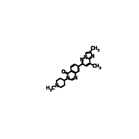 Cc1cn2nc(-c3ccc4c(=O)n(C5CCN(C)CC5)cnc4c3)cc(C)c2n1